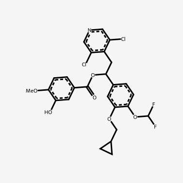 COc1ccc(C(=O)OC(Cc2c(Cl)cncc2Cl)c2ccc(OC(F)F)c(OCC3CC3)c2)cc1O